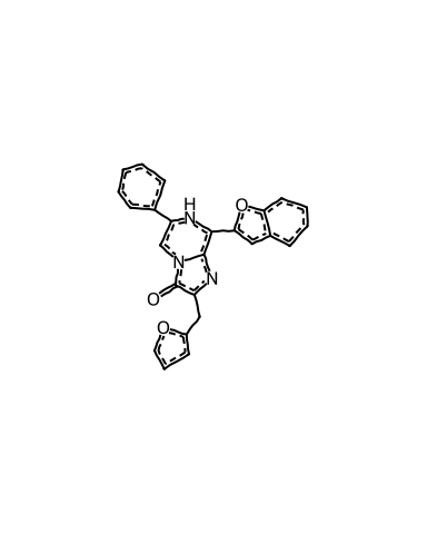 O=c1c(Cc2ccco2)nc2c(-c3cc4ccccc4o3)[nH]c(-c3ccccc3)cn1-2